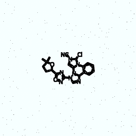 CC1(C)CCC(c2nc(N3C=NC4c5ccccc5N5C(=CN(C#N)C5Cl)N43)no2)O1